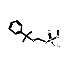 COP(N)(=O)SCSC(C)(C)c1ccccc1